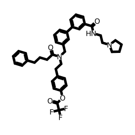 O=C(NCCN1CCCC1)c1cccc(-c2cccc(CN(CCc3ccc(OC(=O)C(F)(F)F)cc3)C(=O)CCCc3ccccc3)c2)c1